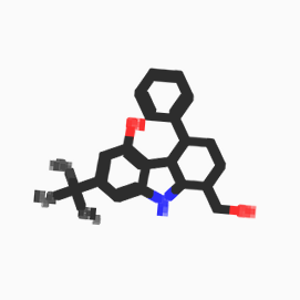 CCCCC(C)(C)c1cc(O)c2c(c1)NC1C(CO)CCC(c3ccccc3)C21